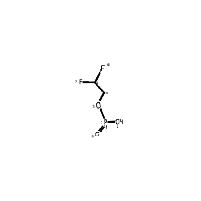 O=[PH](O)OCC(F)F